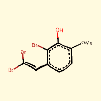 COc1ccc(C=C(Br)Br)c(Br)c1O